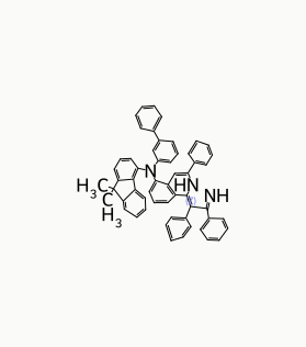 CC1(C)c2ccccc2-c2c(N(c3cccc(-c4ccccc4)c3)c3cccc4c3C=C(c3ccccc3)N/C4=C(\C(=N)c3ccccc3)c3ccccc3)cccc21